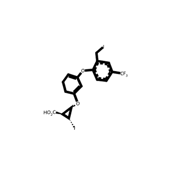 O=C(O)[C@@H]1[C@@H](I)[C@H]1OC1=CC(Oc2ccc(C(F)(F)F)cc2CI)=CCC1